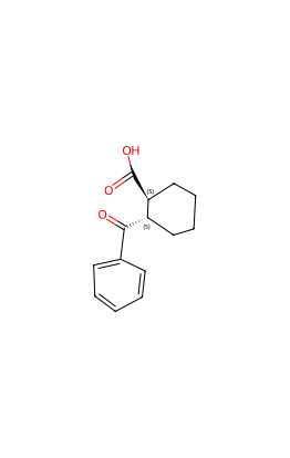 O=C(O)[C@H]1CCCC[C@@H]1C(=O)c1ccccc1